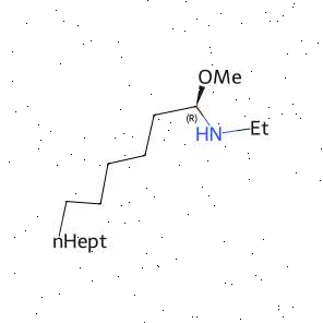 CCCCCCCCCCCC[C@H](NCC)OC